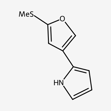 CSc1cc(-c2ccc[nH]2)co1